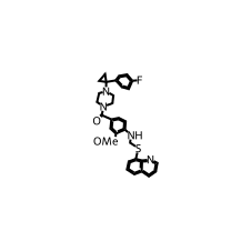 COc1cc(C(=O)N2CCN(C3(c4ccc(F)cc4)CC3)CC2)ccc1NCSc1cccc2cccnc12